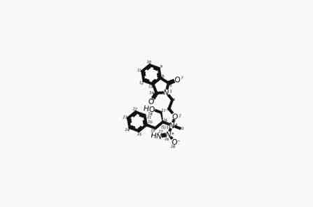 C[N+](OCCN1C(=O)c2ccccc2C1=O)([C@H](CO)Cc1ccccc1)[N+](=N)[O-]